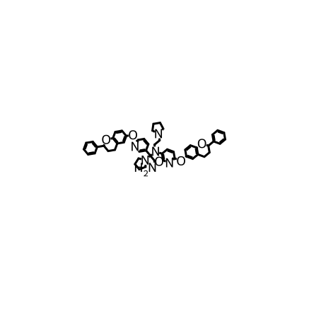 NC(=O)C(c1ccc(Oc2ccc3c(c2)CCC(c2ccccc2)O3)nc1)(N1CCCC1)N(CCN1CCCC1)c1ccc(Oc2ccc3c(c2)CCC(c2ccccc2)O3)nc1